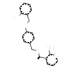 Nc1ncccc1C(=O)NCc1ccc(OCc2ccccc2O)cc1